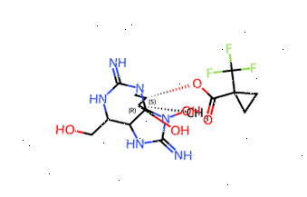 C[C@]1(O)[C@@H](OC(=O)C2(C(F)(F)F)CC2)CN2C(=N)NC(CO)C3NC(=N)N(O)C321